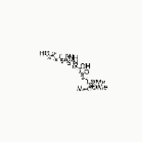 CO[Si](CCCC(=O)CC(O)CNc1nnc(SCCCCO)s1)(OC)OC